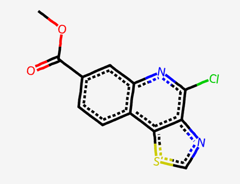 COC(=O)c1ccc2c(c1)nc(Cl)c1ncsc12